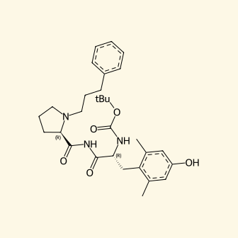 Cc1cc(O)cc(C)c1C[C@@H](NC(=O)OC(C)(C)C)C(=O)NC(=O)[C@H]1CCCN1CCCc1ccccc1